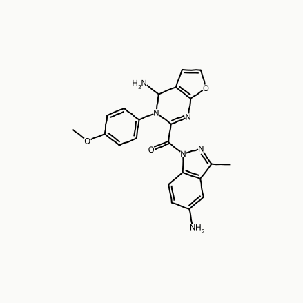 COc1ccc(N2C(C(=O)n3nc(C)c4cc(N)ccc43)=Nc3occc3C2N)cc1